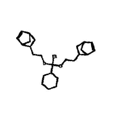 CCC(OCCC1CC2C=CC1C2)(OCCC1CC2C=CC1C2)C1CCCCC1